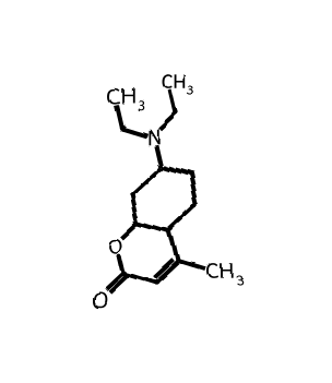 CCN(CC)C1CCC2C(C)=CC(=O)OC2C1